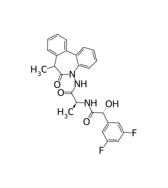 CC1C(=O)N(NC(=O)[C@H](C)NC(=O)[C@H](O)c2cc(F)cc(F)c2)c2ccccc2-c2ccccc21